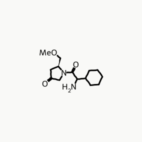 COC[C@@H]1CC(=O)CN1C(=O)C(N)C1CCCCC1